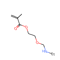 C=C(C)C(=O)OCCOCNCC